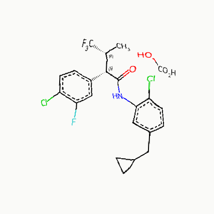 C[C@H]([C@H](C(=O)Nc1cc(CC2CC2)ccc1Cl)c1ccc(Cl)c(F)c1)C(F)(F)F.O=C(O)O